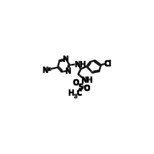 CS(=O)(=O)NCC(Nc1ncc(C#N)cn1)c1ccc(Cl)cc1